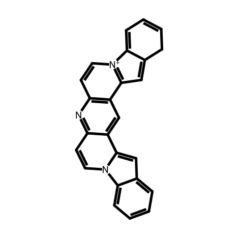 C1=CCc2cc3c4cc5c(ccn6c7ccccc7cc56)nc4cc[n+]3c2=C1